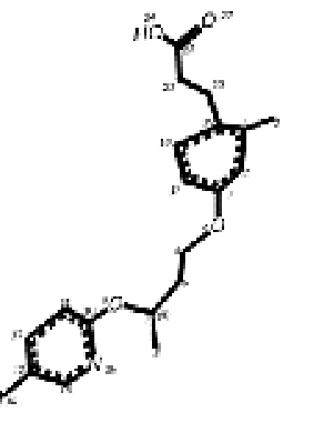 Cc1cc(OCC[C@@H](C)Oc2ccc(Cl)cn2)ccc1CCC(=O)O